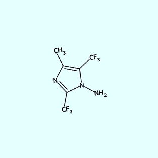 Cc1nc(C(F)(F)F)n(N)c1C(F)(F)F